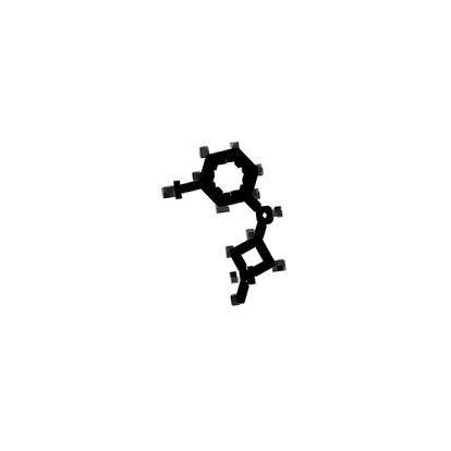 CN1CC(Oc2cccc(I)c2)C1